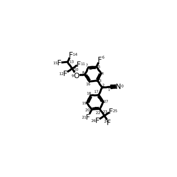 N#CC(c1cc(F)cc(OC(F)(F)C(F)F)c1)c1ccc(F)c(C(F)(F)F)c1